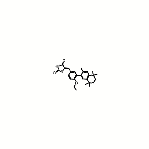 CCOc1ccc(/C=C2\SC(=O)NC2=O)cc1-c1cc2c(cc1C)C(C)(C)CCC2(C)C